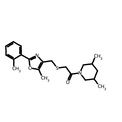 Cc1ccccc1-c1nc(CSCC(=O)N2CC(C)CC(C)C2)c(C)o1